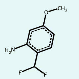 COc1ccc(C(F)F)c(N)c1